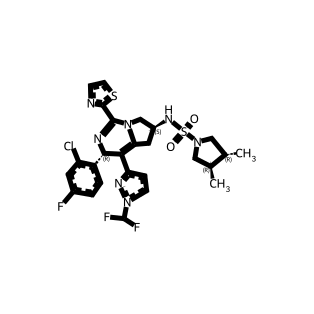 C[C@H]1CN(S(=O)(=O)N[C@H]2CC3=C(c4ccn(C(F)F)n4)[C@H](c4ccc(F)cc4Cl)N=C(c4nccs4)N3C2)C[C@@H]1C